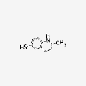 CC1C=Cc2cc(S)ccc2N1